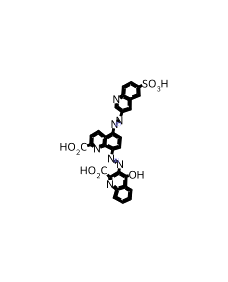 O=C(O)c1ccc2c(/N=N/c3cnc4ccc(S(=O)(=O)O)cc4c3)ccc(/N=N/c3c(C(=O)O)nc4ccccc4c3O)c2n1